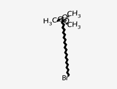 CCO[Si](CCCCCCCCCCCCCCCCCCCCCCBr)(OCC)OCC